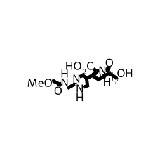 COCC(=O)NCC1=NCC(C2=C(C(=O)O)N3C(=O)[C@H]([C@@H](C)O)[C@H]3C2)CN1